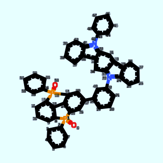 O=P1(c2ccccc2)c2cccc3c2-c2c1cc(-c1cccc(-n4c5ccccc5c5cc6c(cc54)c4ccccc4n6-c4ccccc4)c1)cc2P3(=O)c1ccccc1